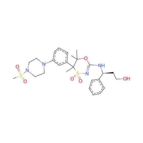 CC1(C)OC(N[C@@H](CCO)c2ccccc2)=NS(=O)(=O)C1(C)c1cccc(N2CCN(S(C)(=O)=O)CC2)c1